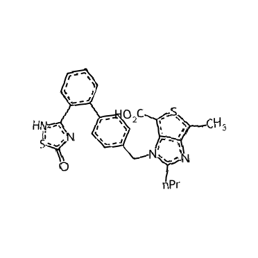 CCCc1nc2c(C)sc(C(=O)O)c2n1Cc1ccc(-c2ccccc2-c2nc(=O)s[nH]2)cc1